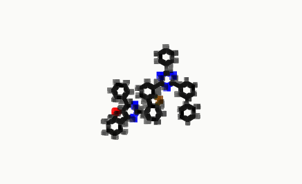 c1ccc(-c2cccc(-c3nc(-c4ccccc4)nc(-c4cccc5c4sc4cccc(-c6nc(-c7ccccc7)c7oc8ccccc8c7n6)c45)n3)c2)cc1